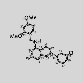 COc1ccc(CNc2nc(C)cc3cc(-c4cccc(Cl)c4)ccc23)c(OC)c1